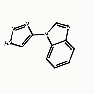 c1ccc2c(c1)ncn2-c1c[nH]nn1